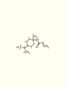 C=CC(=O)OC1(C)CCC(C(C)C)CC1